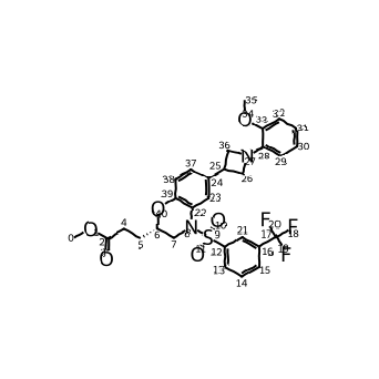 COC(=O)CC[C@H]1CN(S(=O)(=O)c2cccc(C(F)(F)F)c2)c2cc(C3CN(c4ccccc4OC)C3)ccc2O1